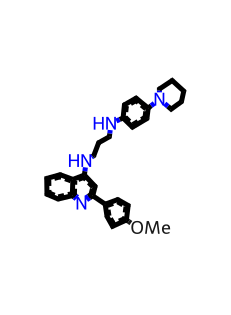 COc1ccc(-c2cc(NCCCNc3ccc(N4CCCCC4)cc3)c3ccccc3n2)cc1